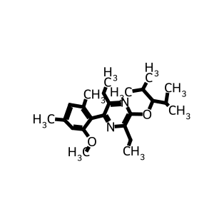 CCc1nc(-c2c(C)cc(C)cc2OC)c(CC)nc1OC(C(C)C)C(C)C